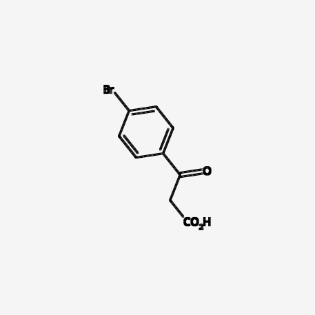 O=C(O)CC(=O)c1ccc(Br)cc1